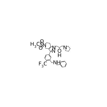 CS(=O)(=O)N1CCc2c(c(-c3ccc(C(F)(F)F)c(CNCc4ccccc4)c3)nn2CC(O)CN2CCCC2)C1